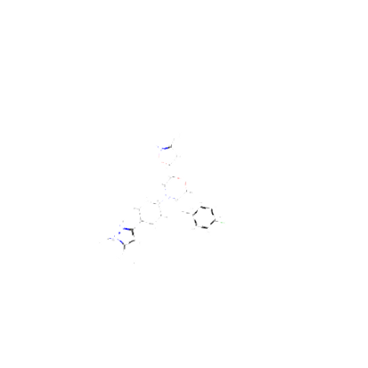 CC1=NOC([C@H]2CN(C3CCC(c4cc(C)n(C)n4)CC3)[C@@H](Cc3ccc(Cl)cc3)CO2)C1